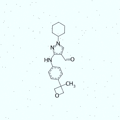 CC1(c2ccc(Nc3nn(C4CCCCC4)cc3C=O)cc2)COC1